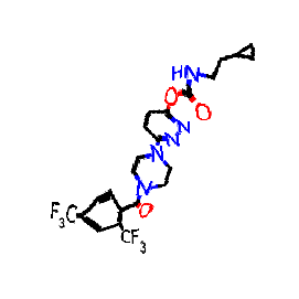 O=C(NCCC1CC1)Oc1ccc(N2CCN(C(=O)c3ccc(C(F)(F)F)cc3C(F)(F)F)CC2)nn1